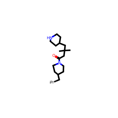 CC(C)CC1CCN(C(=O)CC(C)(C)CC2CCNCC2)CC1